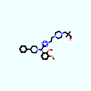 COc1cccc([C@H](c2nnn(CCN3CCN(CC(C)(C)C=O)CC3)n2)N2CCC(c3ccccc3)CC2)c1OC